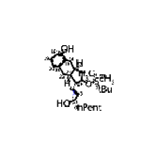 CCCCC[C@H](O)/C=C/[C@H]1C(O[Si](C)(C)C(C)(C)C)C[C@@H]2Cc3c(O)cccc3C[C@@H]21